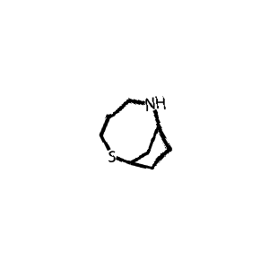 C1CNC2CCC(C2)SC1